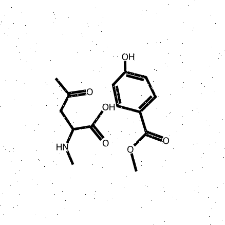 CNC(CC(C)=O)C(=O)O.COC(=O)c1ccc(O)cc1